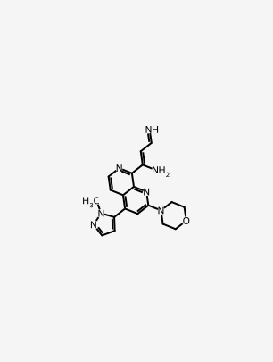 Cn1nccc1-c1cc(N2CCOCC2)nc2c(/C(N)=C/C=N)nccc12